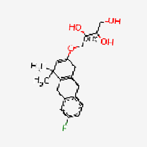 CC1(C)C=C(OC[C@@H](O)[C@H](O)CO)CC2=C1Cc1cc(F)ccc1C2